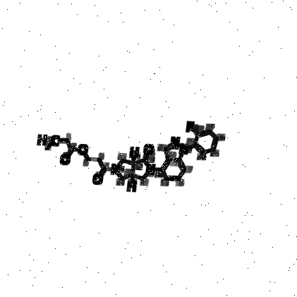 C=CC(=O)OCCC(=O)N1C[C@H]2CN(c3cccc4c3cnn4-c3ccccc3F)C(=O)[C@H]2C1